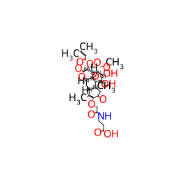 COC(=O)[C@@]12OC[C@]34C([C@@H](O)[C@@H]1O)[C@@]1(C)CC(=O)C(OCC(=O)NCCC(=O)O)=C(C)[C@@H]1C[C@H]3OC(=O)[C@H](OC(=O)C=C(C)C)[C@@H]24